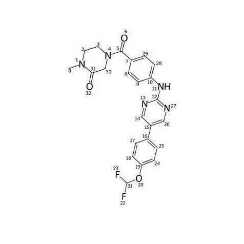 CN1CCN(C(=O)c2ccc(Nc3ncc(-c4ccc(OC(F)F)cc4)cn3)cc2)CC1=O